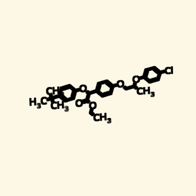 CCOC(=O)C(Oc1ccc(C(C)(C)C)cc1)c1ccc(OCC(C)Oc2ccc(Cl)cc2)cc1